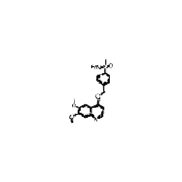 COc1cc2nccc(OCc3ccc(S(C)(=N)=O)cc3)c2cc1OC